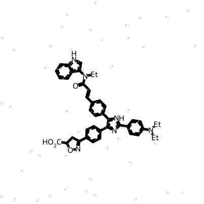 CCN(CC)c1ccc(-c2nc(-c3ccc(C4=NOC(C(=O)O)C4)cc3)c(-c3ccc(C=CC(=O)N(CC)c4c[nH]c5ccccc45)cc3)[nH]2)cc1